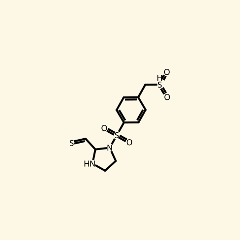 O=[SH](=O)Cc1ccc(S(=O)(=O)N2CCNC2C=S)cc1